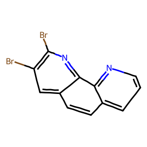 Brc1cc2ccc3cccnc3c2nc1Br